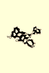 C#Cc1cccc2cc(O)cc(-c3cc4nc(OCC56CCCN5CCC6)nc5c4c(c3Cl)OCC3CNCCN53)c12